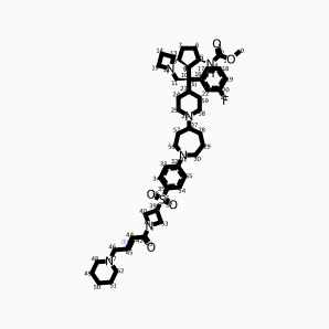 COC(=O)N[C@H]1CCC[C@@H]1[C@](CN1CCC1)(c1cccc(F)c1)C1CCN(C2CCCN(c3ccc(S(=O)(=O)C4CN(C(=O)/C=C/CN5CCCCC5)C4)cc3)CC2)CC1